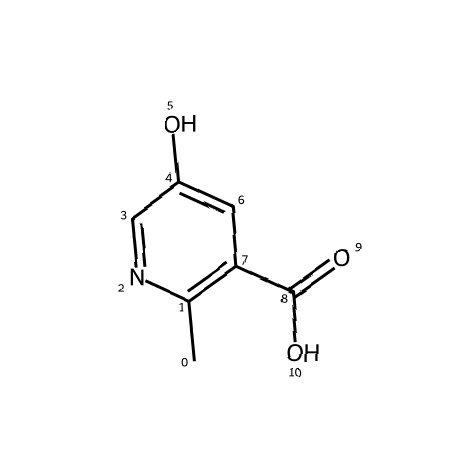 Cc1ncc(O)cc1C(=O)O